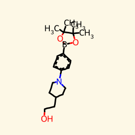 CC1(C)OB(c2ccc(N3CCC(CCO)CC3)cc2)OC1(C)C